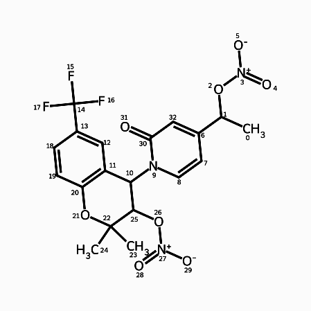 CC(O[N+](=O)[O-])c1ccn(C2c3cc(C(F)(F)F)ccc3OC(C)(C)C2O[N+](=O)[O-])c(=O)c1